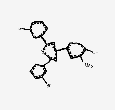 COc1cc(-c2cc(-c3cccc(Br)c3)nc(-c3cccc(Br)c3)c2)ccc1O